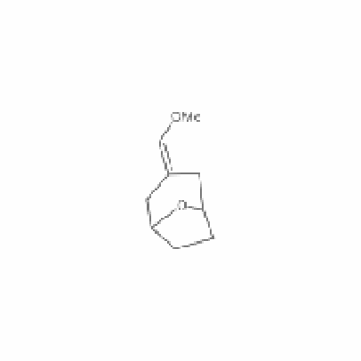 COC=C1CC2CCC(C1)O2